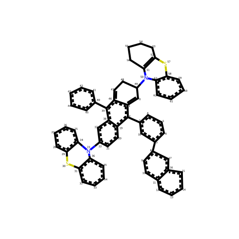 C1=c2c(-c3cccc(-c4ccc5ccccc5c4)c3)c3ccc(N4c5ccccc5Sc5ccccc54)cc3c(-c3ccccc3)c2=CCC1N1C2=C(CCCC2)Sc2ccccc21